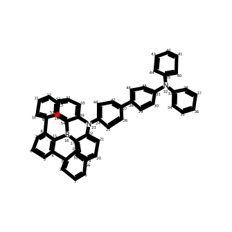 c1ccc(-c2cccc(-c3ccccc3)c2B2c3ccccc3N(c3ccc(-c4ccc(N(c5ccccc5)c5ccccc5)cc4)cc3)c3ccccc32)cc1